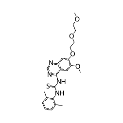 COCCOCCOc1cc2ncnc(NC(=S)Nc3c(C)cccc3C)c2cc1OC